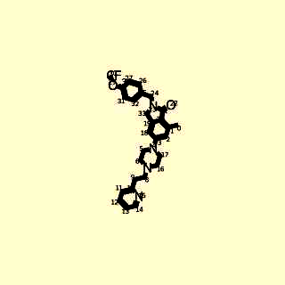 Cc1cc(N2CCN(CCc3ccccn3)CC2)cc2c1C(=O)N(Cc1ccc(OC(F)(F)F)cc1)C2